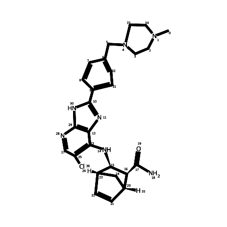 CN1CCN(Cc2ccc(-c3nc4c(N[C@H]5[C@@H](C(N)=O)[C@@H]6C=C[C@H]5C6)c(Cl)cnc4[nH]3)cc2)CC1